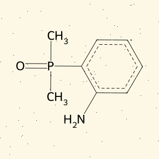 CP(C)(=O)c1c[c]ccc1N